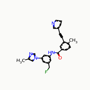 Cc1cn(-c2cc(CF)cc(NC(=O)c3ccc(C)c(C#Cc4cccnc4)c3)c2)cn1